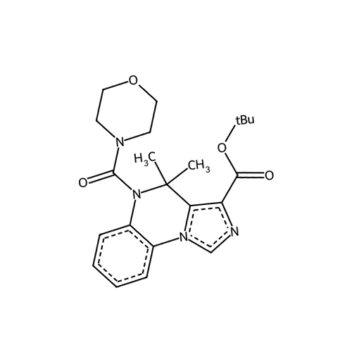 CC(C)(C)OC(=O)c1ncn2c1C(C)(C)N(C(=O)N1CCOCC1)c1ccccc1-2